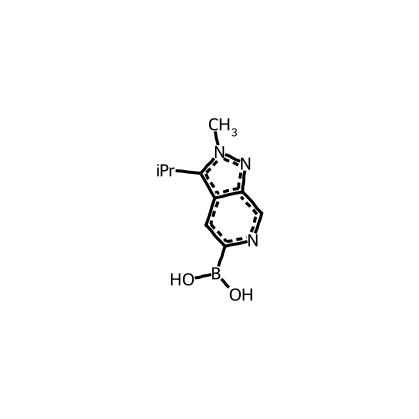 CC(C)c1c2cc(B(O)O)ncc2nn1C